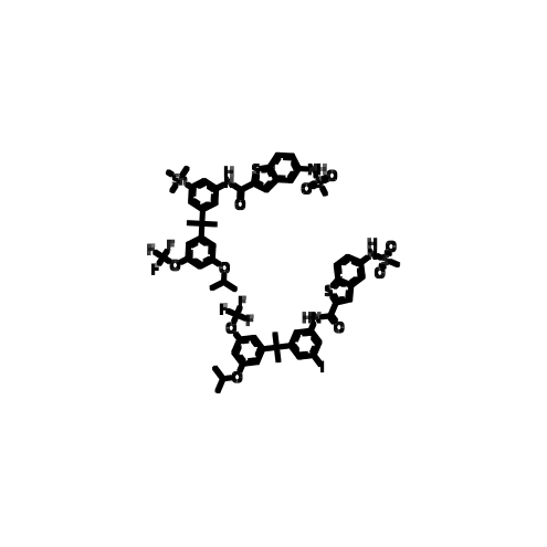 CC(C)Oc1cc(OC(F)(F)F)cc(C(C)(C)c2cc(I)cc(NC(=O)c3cc4cc(NS(C)(=O)=O)ccc4s3)c2)c1.CC(C)Oc1cc(OC(F)(F)F)cc(C(C)(C)c2cc(NC(=O)c3cc4cc(NS(C)(=O)=O)ccc4s3)c[c]([Sn]([CH3])([CH3])[CH3])c2)c1